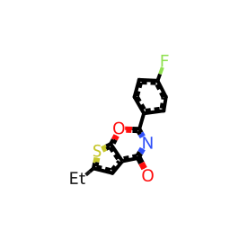 CCc1cc2c(=O)nc(-c3ccc(F)cc3)oc2s1